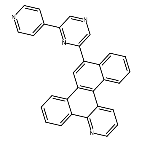 c1ccc2c(c1)c(-c1cncc(-c3ccncc3)n1)cc1c3ccccc3c3ncccc3c21